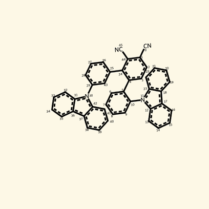 N#Cc1ccc(-c2ccccc2-n2c3ccccc3c3ccccc32)c(-c2cccc(-n3c4ccccc4c4ccccc43)c2)c1C#N